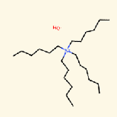 CCCCCC[N+](CCCCCC)(CCCCCC)CCCCCC.[OH-]